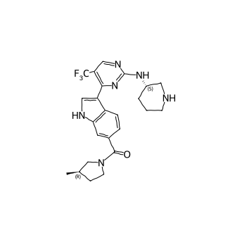 C[C@@H]1CCN(C(=O)c2ccc3c(-c4nc(N[C@H]5CCCNC5)ncc4C(F)(F)F)c[nH]c3c2)C1